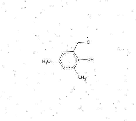 [CH2]c1cc(C)cc(CCl)c1O